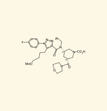 COCCCCc1c(C(=O)N(CC(C)C)[C@H]2C[C@@H](C(=O)N3CCOCC3)CN(C(=O)O)C2)nnn1-c1ccc(F)cc1